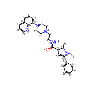 CC1C(C(=O)NCCN2CCN(c3cccc4cccnc34)CC2)C=C(c2ccccc2)N1C